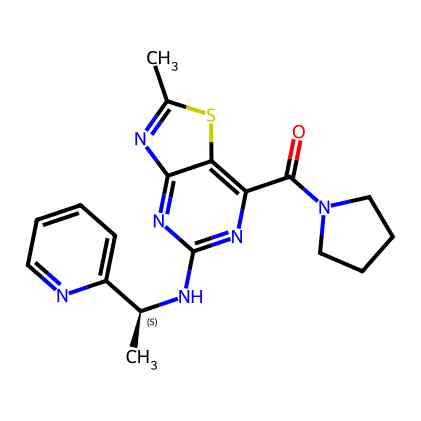 Cc1nc2nc(N[C@@H](C)c3ccccn3)nc(C(=O)N3CCCC3)c2s1